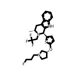 C[C@@H]1Cc2c([nH]c3ccccc23)[C@@H](c2ccc(O[C@@H]3CCN(CCCF)C3)s2)N1CC(F)(F)F